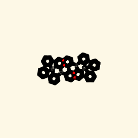 c1ccc([Si]2(c3ccccc3)c3ccccc3B(c3ccccc3-c3ccccc3B3c4ccccc4[Si](c4ccccc4)(c4ccccc4)c4ccccc43)c3ccccc32)cc1